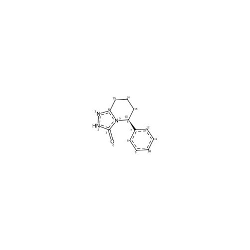 O=c1[nH]nc2n1[C@H](c1ccccc1)CCC2